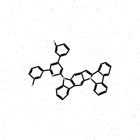 Fc1cccc(-c2cc(-c3cccc(F)c3)nc(-n3c4ccccc4c4cc5c(cc43)cc3c4ccccc4c4ccccc4n53)c2)c1